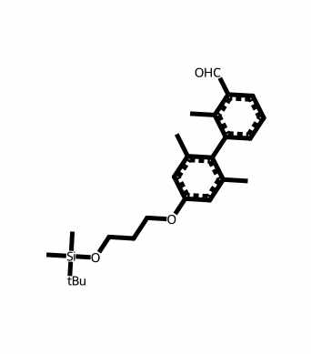 Cc1cc(OCCCO[Si](C)(C)C(C)(C)C)cc(C)c1-c1cccc(C=O)c1C